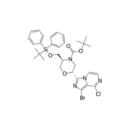 CC(C)(C)OC(=O)N1C[C@H](c2nc(Br)c3c(Cl)nccn23)OC[C@H]1CO[Si](c1ccccc1)(c1ccccc1)C(C)(C)C